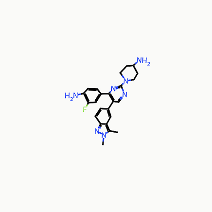 Cc1c2cc(-c3cnc(N4CCC(N)CC4)nc3-c3ccc(N)c(F)c3)ccc2nn1C